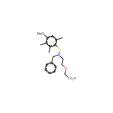 COc1cc(C)c(SN(CCOCC(=O)O)Cc2ccccc2)c(C)c1C